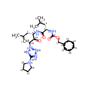 CC(C)C[C@H](NC(=O)[C@H](CC(C)C)NC(=O)OCc1ccccc1)C(=O)Cn1nnc(N2CCCC2)n1